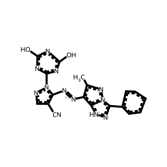 Cc1nn2c(-c3ccccc3)n[nH]c2c1/N=N/c1c(C#N)cnn1-c1nc(O)nc(O)n1